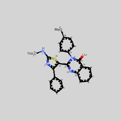 CCOC(=O)Nc1nc(-c2ccccc2)c(-c2nc3ccccc3c(=O)n2-c2ccc(OC)cc2)s1